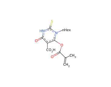 C=C(C)C(=O)Oc1c(C(=O)O)c(=O)[nH]c(=S)n1CCCCCC